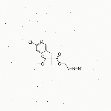 COC(=O)C(C)(Cc1ccc(Cl)nc1)C(=O)OCN=[N+]=[N-]